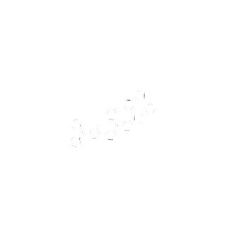 c1ccc(N(c2cccc(-c3ccc(-n4c5ccccc5c5ccccc54)cc3)c2)c2cccc3c2Oc2c(ccc4c2-c2ccccc2C42c4ccccc4-c4ccccc42)O3)cc1